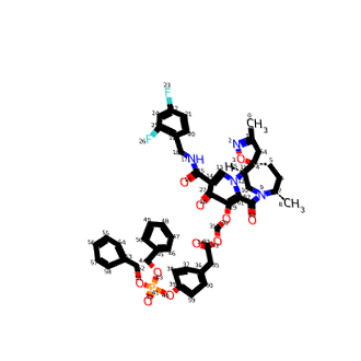 CC1=NO[C@@]2(CC[C@H](C)N3C[C@H]2n2cc(C(=O)NCc4ccc(F)cc4F)c(=O)c(OCOC(=O)Cc4ccc(OP(=O)(OCc5ccccc5)OCc5ccccc5)cc4)c2C3=O)C1